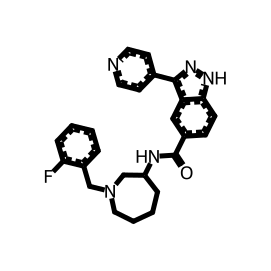 O=C(NC1CCCCN(Cc2ccccc2F)C1)c1ccc2[nH]nc(-c3ccncc3)c2c1